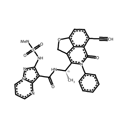 C#Cc1ccc2c3c(c([C@H](C)NC(=O)c4c(NS(=O)(=O)NC)nn5cccnc45)n(-c4ccccc4)c(=O)c13)CO2